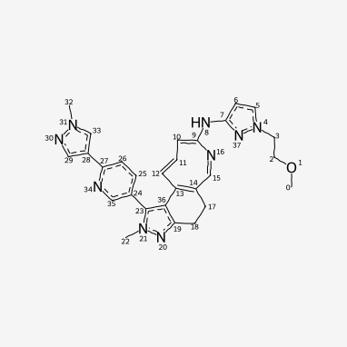 COCCn1ccc(NC2=C/C=C/C3=C(/C=N\2)CCc2nn(C)c(-c4ccc(-c5cnn(C)c5)nc4)c23)n1